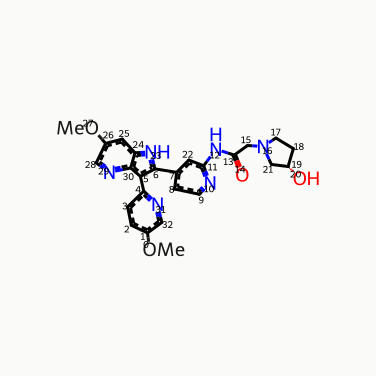 COc1ccc(-c2c(-c3ccnc(NC(=O)CN4CC[C@H](O)C4)c3)[nH]c3cc(OC)cnc23)nc1